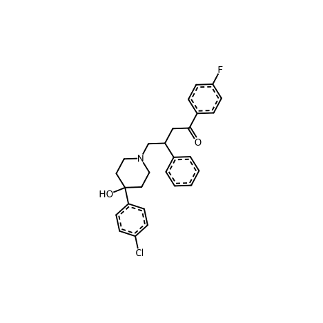 O=C(CC(CN1CCC(O)(c2ccc(Cl)cc2)CC1)c1ccccc1)c1ccc(F)cc1